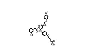 COc1ccc(CCNC(=O)CC(NC(=O)Cc2cccc(Cl)c2)Nc2ccc(OCCCC(=O)O)cc2)cc1